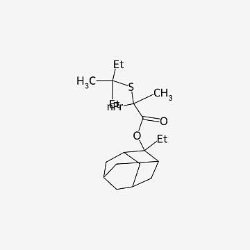 CCCC(C)(SC(C)(CC)CC)C(=O)OC1(CC)C2CC3CC(C2)CC1C3